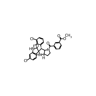 COC(=O)c1cccc(C(=O)N2CC[C@@H]3N[C@@]4(C(=O)Nc5cc(Cl)ccc54)[C@@H](c4cccc(Cl)c4F)C32)c1